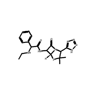 CCNC(C(=O)NC1C(=O)N2C(c3nnn[nH]3)C(C)(C)S[C@H]12)c1ccccc1